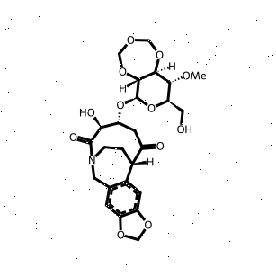 CO[C@H]1[C@@H]2OCOCO[C@H]2[C@H](O[C@@H]2CC(=O)[C@H]3CCN(Cc4cc5c(cc43)OCO5)C(=O)[C@H]2O)O[C@@H]1CO